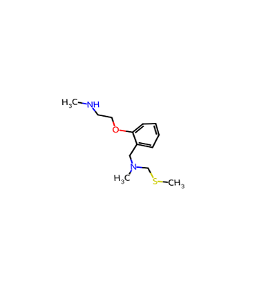 CNCCOc1ccccc1CN(C)CSC